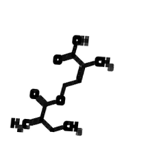 C=C(CC)C(=O)OCC=C(C)C(=O)O